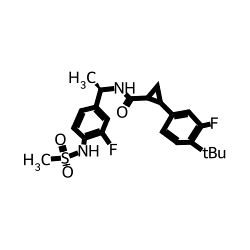 C[C@@H](NC(=O)C1CC1c1ccc(C(C)(C)C)c(F)c1)c1ccc(NS(C)(=O)=O)c(F)c1